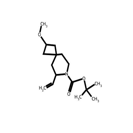 C=CC1CC2(CCN1C(=O)OC(C)(C)C)CC(OC)C2